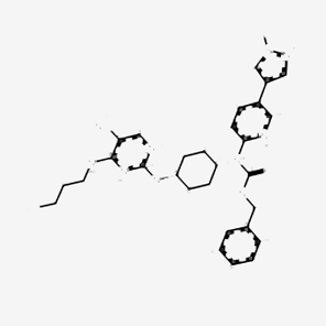 Cn1cc(-c2ccc(N(C(=O)NCc3ccccc3)[C@H]3CC[C@H](Nc4ncc(C#N)c(NCCCF)n4)CC3)nc2)cn1